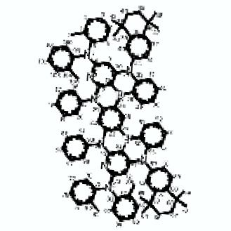 Cc1ccccc1N(c1cc2c3c(n1)N(c1ccccc1)c1cc4c(cc1B3c1ccccc1N2c1ccc2c(c1)C(C)(C)CCC2(C)C)B1c2ccccc2N(c2ccc3c(c2)C(C)(C)CCC3(C)C)c2cc(N(c3ccccc3C)c3ccccc3C)nc(c21)N4c1ccccc1)c1ccccc1C